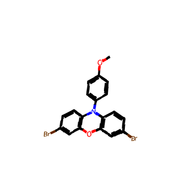 COc1ccc(N2c3ccc(Br)cc3Oc3cc(Br)ccc32)cc1